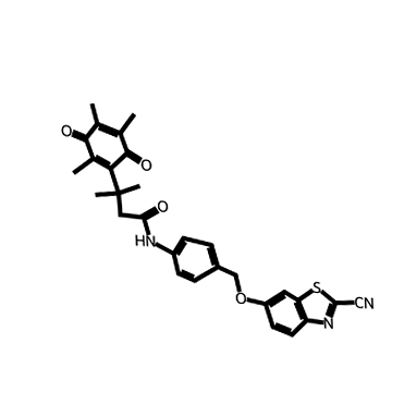 CC1=C(C)C(=O)C(C(C)(C)CC(=O)Nc2ccc(COc3ccc4nc(C#N)sc4c3)cc2)=C(C)C1=O